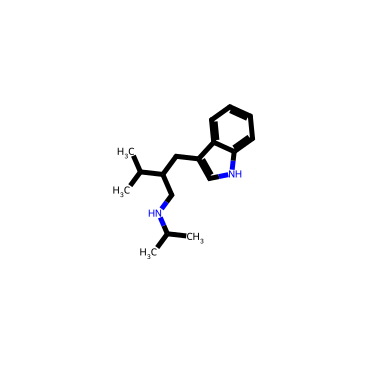 CC(C)NCC(Cc1c[nH]c2ccccc12)C(C)C